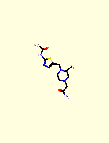 CC(=O)Nc1ncc(CN2CCN(CC(N)=O)CC2C)s1